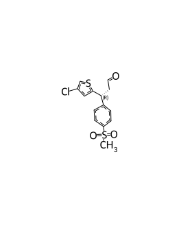 CS(=O)(=O)c1ccc([C@@H](CC=O)c2cc(Cl)cs2)cc1